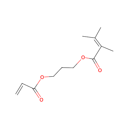 C=CC(=O)OCCCOC(=O)C(C)=C(C)C